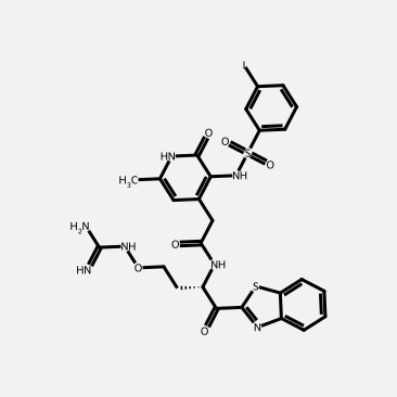 Cc1cc(CC(=O)N[C@@H](CCONC(=N)N)C(=O)c2nc3ccccc3s2)c(NS(=O)(=O)c2cccc(I)c2)c(=O)[nH]1